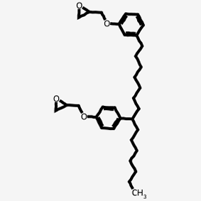 CCCCCCCC(CCCCCCCc1cccc(OCC2CO2)c1)c1ccc(OCC2CO2)cc1